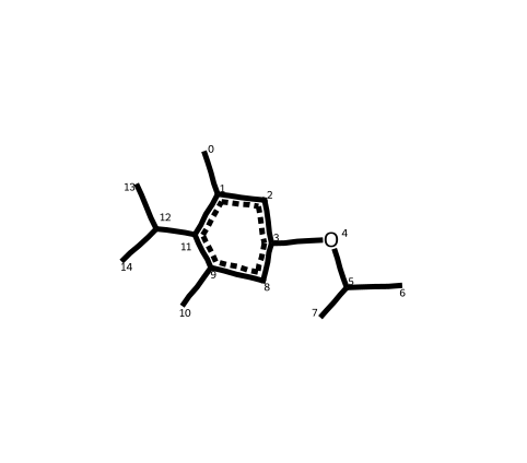 Cc1cc(OC(C)C)cc(C)c1C(C)C